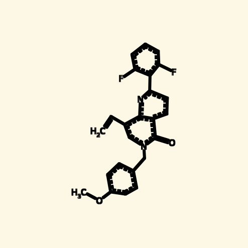 C=Cc1cn(Cc2ccc(OC)cc2)c(=O)c2ccc(-c3c(F)cccc3F)nc12